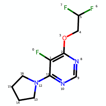 Fc1c(OCC(F)F)ncnc1N1CCCC1